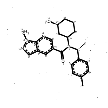 Cc1ccc([C@@H](C)N(C(=O)c2cnc3c(cnn3N)c2)C2CCC[C@H](O)C2)cc1